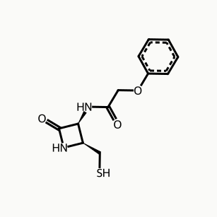 O=C(COc1ccccc1)N[C@@H]1C(=O)N[C@@H]1CS